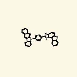 c1ccc2cc3c(cc2c1)c1ccccc1n3-c1ccc(-c2nc3ccc4sc5ccccc5c4c3s2)cc1